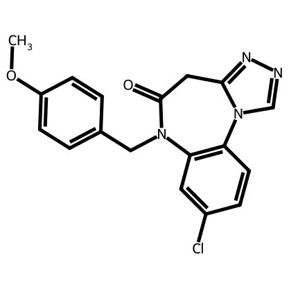 COc1ccc(CN2C(=O)Cc3nncn3-c3ccc(Cl)cc32)cc1